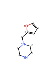 c1coc(CN2CC[N]CC2)c1